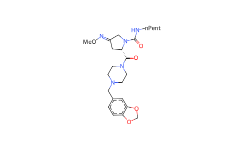 CCCCCNC(=O)N1C/C(=N/OC)C[C@H]1C(=O)N1CCN(Cc2ccc3c(c2)OCO3)CC1